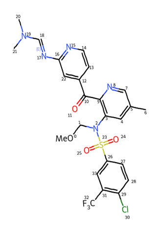 COCN(c1cc(C)cnc1C(=O)c1ccnc(/N=C/N(C)C)c1)S(=O)(=O)c1ccc(Cl)c(C(F)(F)F)c1